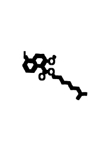 COc1ccc2c(I)cccc2c1C(=O)OCCCCCCC(C)C